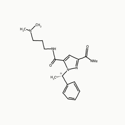 CNC(=O)c1cc(C(=O)NCCCN(C)C)n([C@@H](C)c2ccccc2)n1